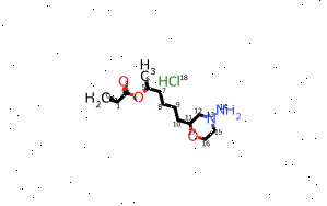 C=CC(=O)OC(C)CCCCC1CN(N)CCO1.Cl